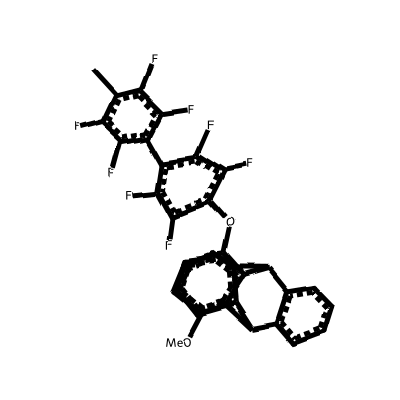 COc1ccc(Oc2c(F)c(F)c(-c3c(F)c(F)c(C)c(F)c3F)c(F)c2F)c2c1C1c3ccccc3C2c2ccccc21